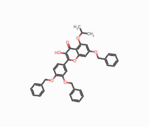 CC(C)Oc1cc(OCc2ccccc2)cc2oc(-c3ccc(OCc4ccccc4)c(OCc4ccccc4)c3)c(O)c(=O)c12